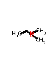 CCCC/C=C/C=C\CCCC(OCCCCCC)OCCCCCC